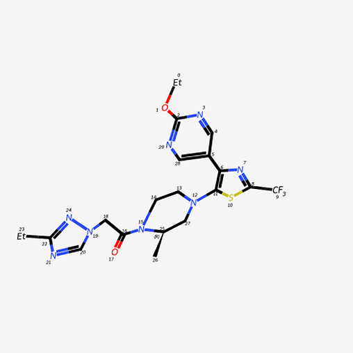 CCOc1ncc(-c2nc(C(F)(F)F)sc2N2CCN(C(=O)Cn3cnc(CC)n3)[C@H](C)C2)cn1